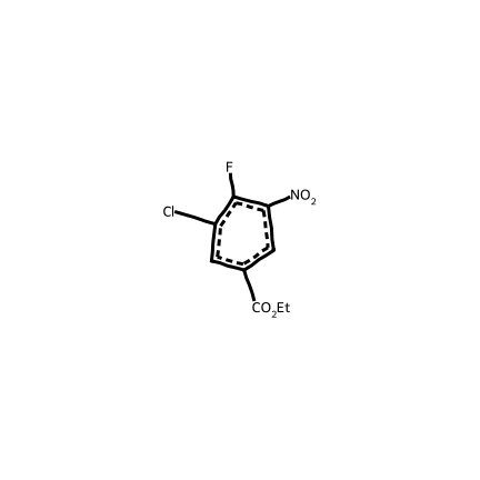 CCOC(=O)c1cc(Cl)c(F)c([N+](=O)[O-])c1